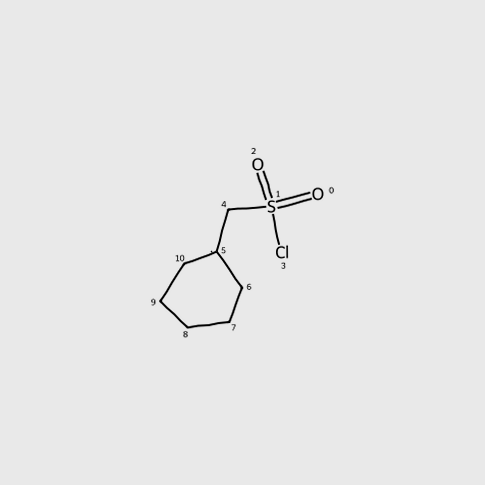 O=S(=O)(Cl)C[C]1CCCCC1